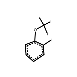 Ic1ccccc1OC(I)(I)I